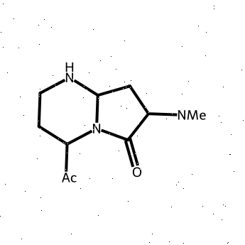 CNC1CC2NCCC(C(C)=O)N2C1=O